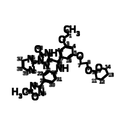 CCOc1cc(OCCOC2CCCCO2)cc(C(Nc2ccc(-c3noc(C)n3)cc2)c2nn(-c3ncccn3)c(=O)[nH]2)c1